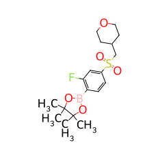 CC1(C)OB(c2ccc(S(=O)(=O)CC3CCOCC3)cc2F)OC1(C)C